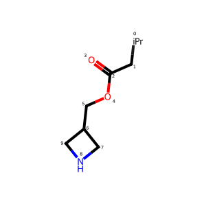 CC(C)CC(=O)OCC1CNC1